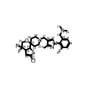 Cc1nn(-c2c(F)cccc2CN(C)C)cc1CN1CCC2(CC1)OCC(F)(F)C1C=C(Cl)SC12